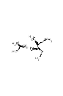 C=C(N)C(=O)OC.NC(=O)O